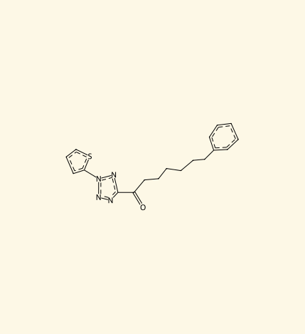 O=C(CCCCCCc1ccccc1)c1nnn(-c2cccs2)n1